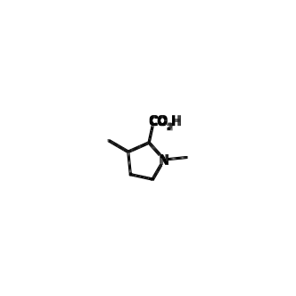 CC1CCN(C)C1C(=O)O